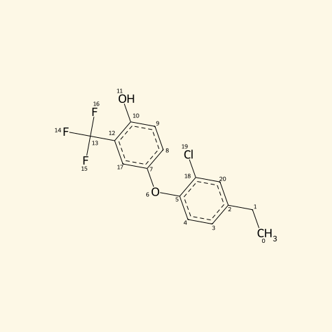 CCc1ccc(Oc2ccc(O)c(C(F)(F)F)c2)c(Cl)c1